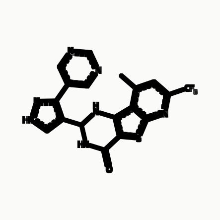 Cc1cc(C(F)(F)F)nc2sc3c(c12)NC(c1c[nH]nc1-c1cncnc1)NC3=O